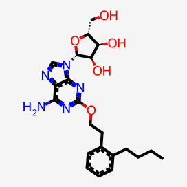 CCCCc1ccccc1CCOc1nc(N)c2ncn([C@@H]3O[C@H](CO)[C@@H](O)[C@H]3O)c2n1